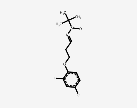 CC(C)(C)[S+]([O-])N=CCCOc1ccc(Cl)cc1F